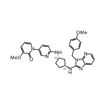 COc1ccc(Cn2c(N[C@H]3CC[C@H](Nc4ccc(-n5cccc(OC)c5=O)cn4)C3)nc3cccnc32)cc1